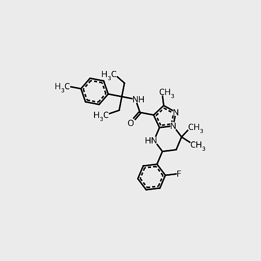 CCC(CC)(NC(=O)c1c(C)nn2c1NC(c1ccccc1F)CC2(C)C)c1ccc(C)cc1